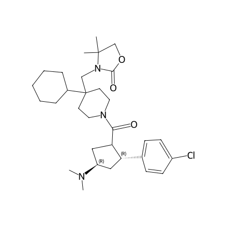 CN(C)[C@H]1CC(C(=O)N2CCC(CN3C(=O)OCC3(C)C)(C3CCCCC3)CC2)[C@H](c2ccc(Cl)cc2)C1